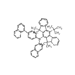 CC(C)(C)c1c2c(c(N(c3ccc(-c4cccc5ccccc45)cc3)c3ccc4ccccc4c3)c3c1-c1ccccc1C3(C)C)C(C)(C)C1CC=CC=C21